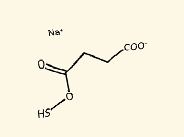 O=C([O-])CCC(=O)OS.[Na+]